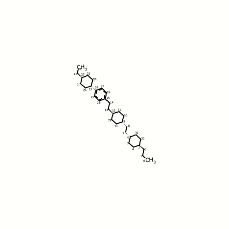 CCC[C@H]1CC[C@H](CC[C@H]2CC[C@H](CCc3ccc([C@H]4CC[C@H](CC)CC4)cc3)CC2)CC1